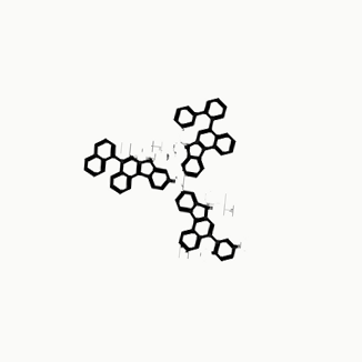 Cc1ccc(C)c(-c2cc3c(c4ccccc24)-c2ccc(N(c4ccc5c(c4)C(C)(C)c4cc(-c6ccccc6-c6ccccc6)c6ccccc6c4-5)c4ccc5c(c4)C(C)(C)c4cc(-c6cccc7ccccc67)c6ccccc6c4-5)cc2C3(C)C)c1